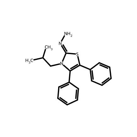 CC(C)Cn1c(-c2ccccc2)c(-c2ccccc2)sc1=NN